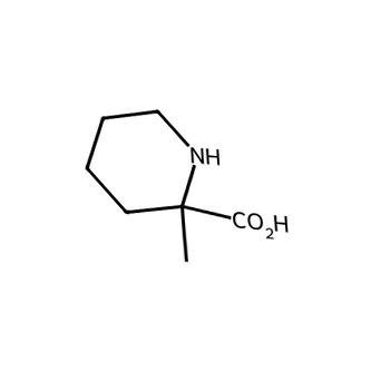 CC1(C(=O)O)CCCCN1